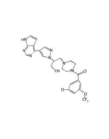 N#CCC(CN1CCN(C(=O)c2cc(Cl)cc(OC(F)(F)F)c2)CC1)n1cc(-c2ncnc3[nH]ccc23)cn1